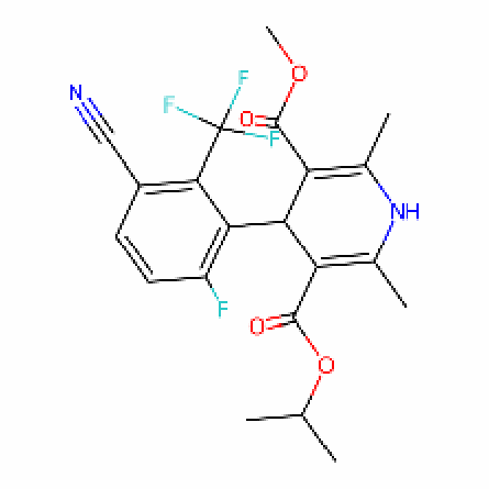 COC(=O)C1=C(C)NC(C)=C(C(=O)OC(C)C)C1c1c(F)ccc(C#N)c1C(F)(F)F